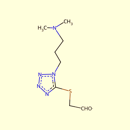 CN(C)CCCn1nnnc1SC[C]=O